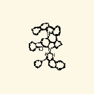 c1ccc(-c2nc(-n3c4cccc5c6cccc7c8ccc9ccccc9c8n(c8cc9c%10ccccc%10oc9c3c8c54)c67)nc3c2ccc2ccccc23)cc1